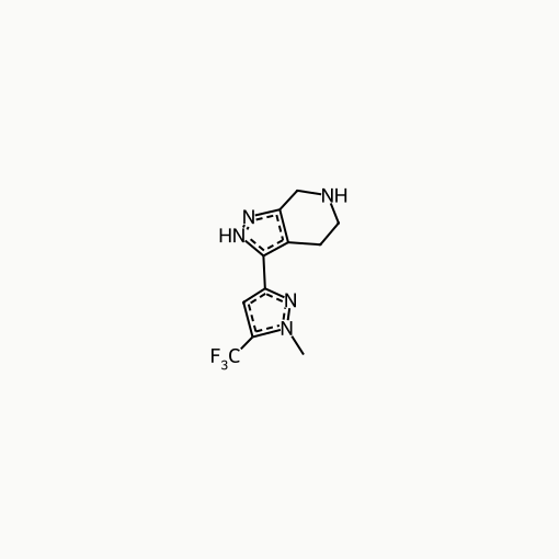 Cn1nc(-c2[nH]nc3c2CCNC3)cc1C(F)(F)F